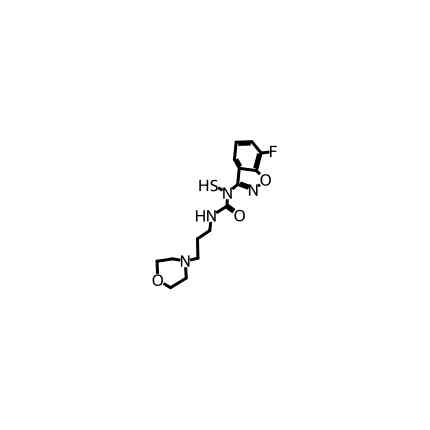 O=C(NCCCN1CCOCC1)N(S)c1noc2c(F)cccc12